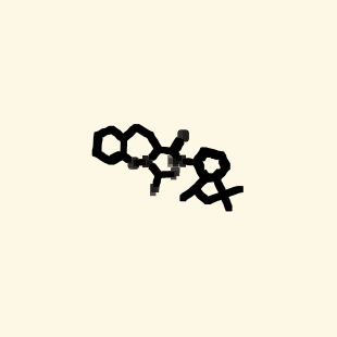 CC1CC(C)(C)c2cccc(NC(=O)C3CCC4CC=CC=C4ON3C(F)F)c21